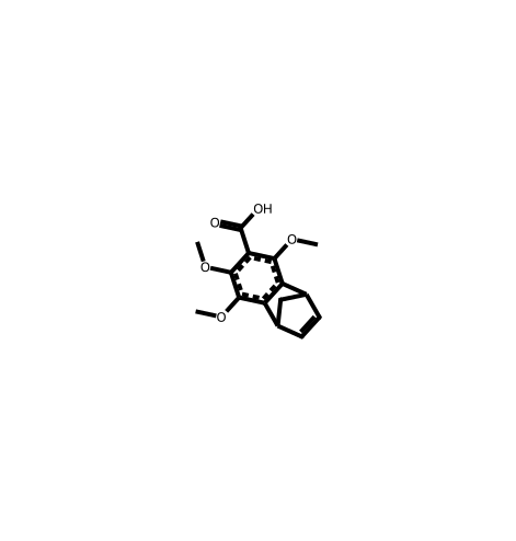 COc1c(OC)c2c(c(OC)c1C(=O)O)C1C=CC2C1